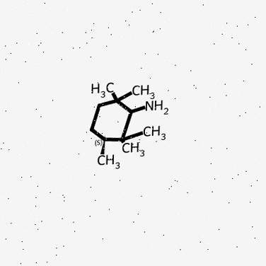 C[C@H]1CCC(C)(C)C(N)C1(C)C